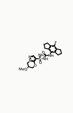 CO[C@@H]1COc2c([S@@](=N)(=O)NC(=O)Nc3c4c(c(F)c5c3CCC5)CCC4)cnn2C1